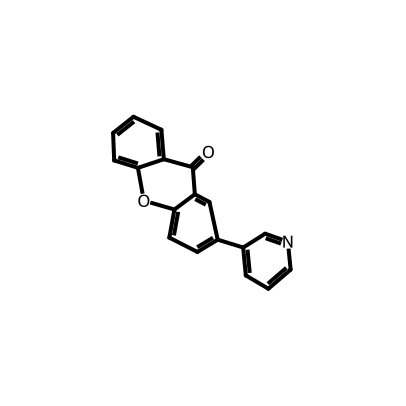 O=c1c2ccccc2oc2ccc(-c3cccnc3)cc12